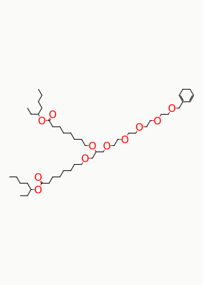 CCCCC(CC)OC(=O)CCCCCCCOCC(COCCOCCOCCOCCOCC1=CCCC=C1)OCCCCCCCC(=O)OC(CC)CCCC